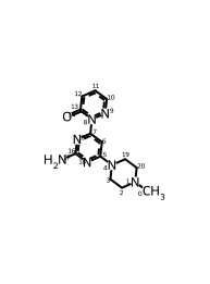 CN1CCN(c2cc(-n3ncccc3=O)nc(N)n2)CC1